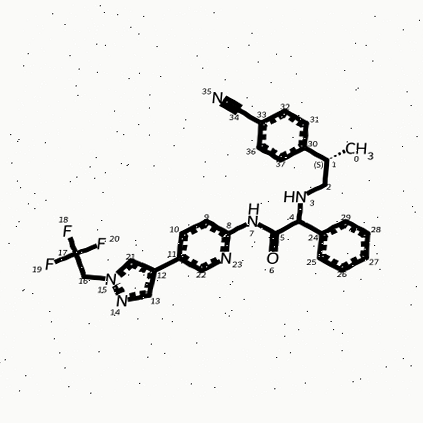 C[C@H](CNC(C(=O)Nc1ccc(-c2cnn(CC(F)(F)F)c2)cn1)c1ccccc1)c1ccc(C#N)cc1